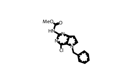 COC(=O)Nc1nc(Cl)c2c(ccn2Cc2ccccc2)n1